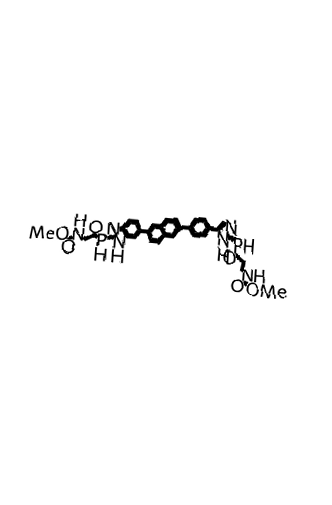 COC(=O)NCCC(=O)Pc1ncc(-c2ccc(-c3ccc4cc(-c5ccc6nc(PC(=O)CNC(=O)OC)[nH]c6c5)ccc4c3)cc2)[nH]1